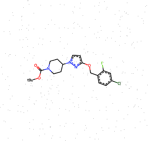 CC(C)(C)OC(=O)N1CCC(n2ccc(OCc3ccc(Cl)cc3F)n2)CC1